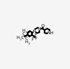 CC(C)(C)c1ccc(N2CCN(C(=O)C3CCNCC3)CC2)c(C(F)(F)F)c1